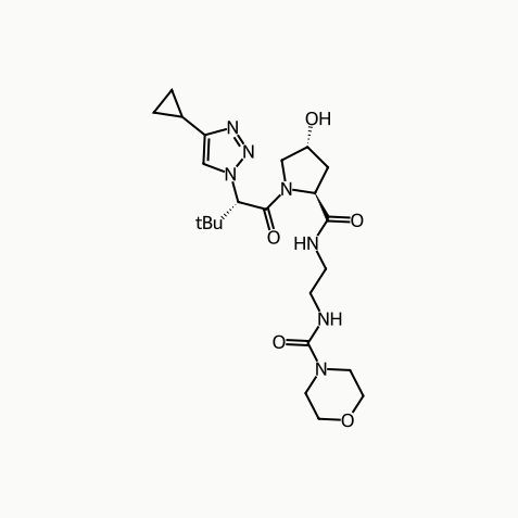 CC(C)(C)[C@@H](C(=O)N1C[C@H](O)C[C@H]1C(=O)NCCNC(=O)N1CCOCC1)n1cc(C2CC2)nn1